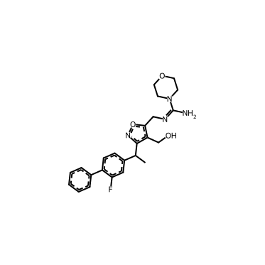 CC(c1ccc(-c2ccccc2)c(F)c1)c1noc(CN=C(N)N2CCOCC2)c1CO